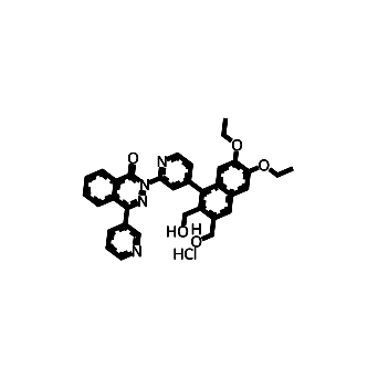 CCOc1cc2cc(CO)c(CO)c(-c3ccnc(-n4nc(-c5cccnc5)c5ccccc5c4=O)c3)c2cc1OCC.Cl